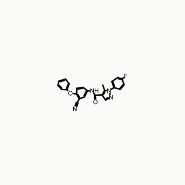 Cc1c(C(=O)Nc2ccc(Oc3ccccc3)c(C#N)c2)cnn1-c1ccc(F)cc1